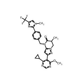 COc1ncnc(C2CC2)c1-c1cc2n(n1)CC(C)C(=O)N2Cc1ccc(-c2nc(C(F)(F)F)cn2C)cc1